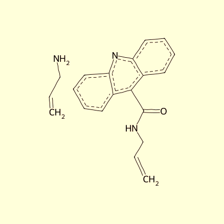 C=CCN.C=CCNC(=O)c1c2ccccc2nc2ccccc12